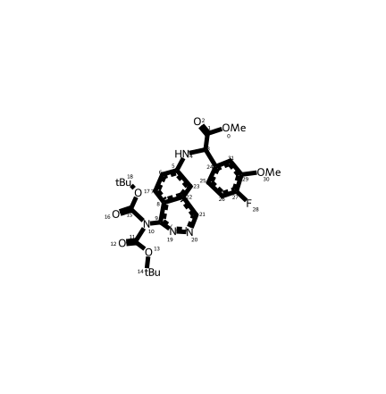 COC(=O)C(Nc1ccc2c(N(C(=O)OC(C)(C)C)C(=O)OC(C)(C)C)nncc2c1)c1ccc(F)c(OC)c1